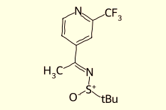 CC(=N[S+]([O-])C(C)(C)C)c1ccnc(C(F)(F)F)c1